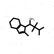 CC1=CC2=C(CCCC2)C1C([SiH3])C(C)(C)C(C)C